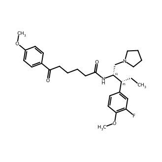 CC[C@H](c1ccc(OC)c(F)c1)[C@@H](CN1CCCC1)NC(=O)CCCCC(=O)c1ccc(OC)cc1